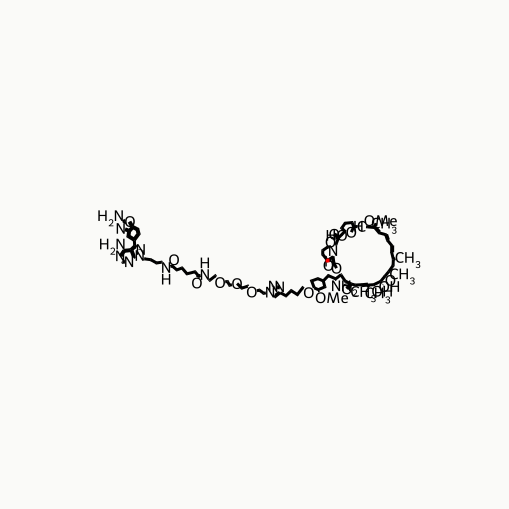 COC1C[C@@H]2CCC[C@@](O)(O2)C(=O)C(=O)N2CCCC[C@H]2C(=O)OC([C@H](N)CC2CCC(OCCCCc3cn(CCOCCOCCOCCNC(=O)CCCCC(=O)NCCCCn4nc(-c5ccc6oc(N)nc6c5)c5c(N)ncnc54)nn3)[C@H](OC)C2)CC(=O)C(C)/C=C(\C)[C@@H](O)[C@@H](O)C(=O)C(C)CC(C)/C=C/C=C/C=C/1C